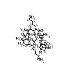 CCCCCCCCCCCC(=O)N[C@@H](CCCCN)C(=O)N[C@H](C(=O)N[C@@H](N)C(=O)N[C@@H](CCCCN)C(=O)N[C@@H](N)B1OC2C[C@@H]3C[C@@H](C3(C)C)[C@]2(C)O1)[C@@H](C)O